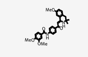 COc1ccc2c(c1)C(=CC(=O)c1ccc(NC(=O)c3ccc(OC)c(OC)c3)cc1)NC(C)(C)C2